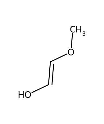 COC=CO